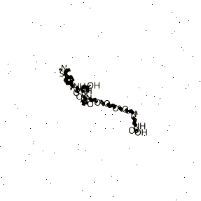 Cc1ncsc1-c1ccc([C@H](C)NC(=O)[C@@H]2C[C@@H](O)CN2C(=O)[C@@H](NC(=O)COCCOCCOCCOCCN(C)CCCNC(=O)O)C(C)(C)C)cc1